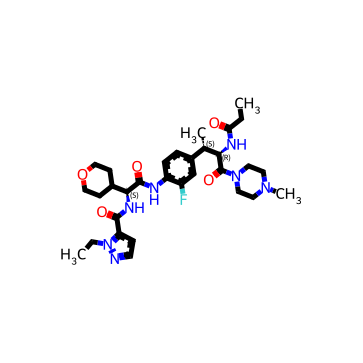 CCC(=O)N[C@@H](C(=O)N1CCN(C)CC1)[C@@H](C)c1ccc(NC(=O)[C@@H](NC(=O)c2ccnn2CC)C2CCOCC2)c(F)c1